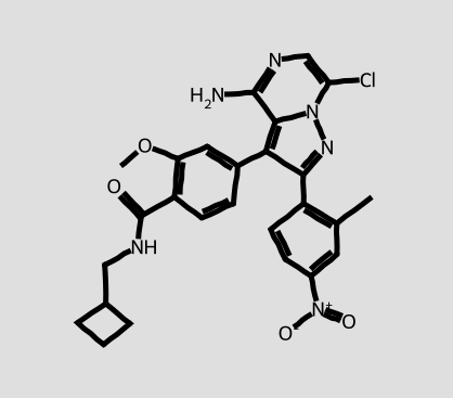 COc1cc(-c2c(-c3ccc([N+](=O)[O-])cc3C)nn3c(Cl)cnc(N)c23)ccc1C(=O)NCC1CCC1